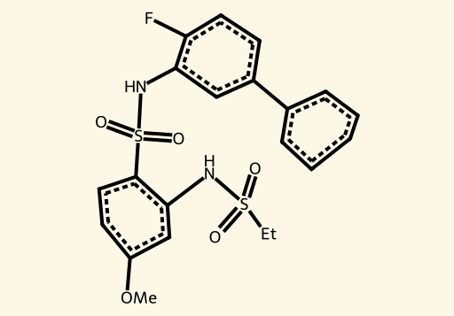 CCS(=O)(=O)Nc1cc(OC)ccc1S(=O)(=O)Nc1cc(-c2ccccc2)ccc1F